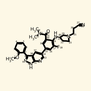 COc1ccccc1-c1n[nH]c2ncc(-c3cc(F)c(N[C@@H]4CCN(CCC#N)C4)c(C(=O)N(C)C)c3)cc12